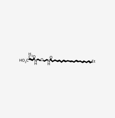 CCC=CCC=CCC=CCC=CCC=CCC=CCCC(=O)NCCOCCNC(=O)C=C(C)C(=O)O